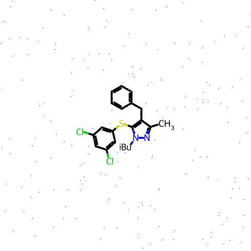 CCC(C)n1nc(C)c(Cc2ccccc2)c1Sc1cc(Cl)cc(Cl)c1